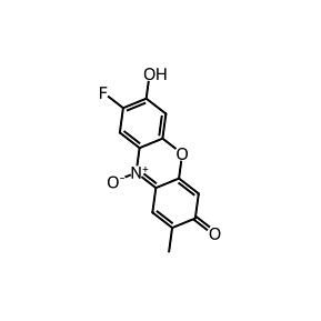 Cc1cc2[n+]([O-])c3cc(F)c(O)cc3oc-2cc1=O